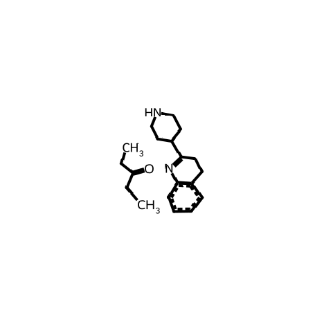 CCC(=O)CC.c1ccc2c(c1)CCC(C1CCNCC1)=N2